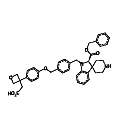 O=C(O)CC1(c2ccc(OCc3ccc(CN4c5ccccc5C5(CCNCC5)[C@@H]4C(=O)OCc4ccccc4)cc3)cc2)COC1